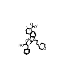 COC(=O)N1c2ccc3c(nc(C[C@@H](C(=O)O)c4ccccc4)n3CCN3CCOCC3)c2CC[C@@H]1C